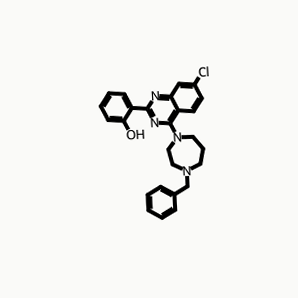 Oc1ccccc1-c1nc(N2CCCN(Cc3ccccc3)CC2)c2ccc(Cl)cc2n1